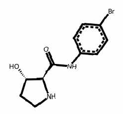 O=C(Nc1ccc(Br)cc1)[C@H]1NCC[C@@H]1O